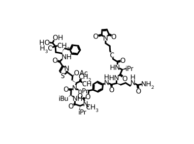 C=C(C)[C@@H](C[C@@H](OC(C)=O)c1nc(C(=O)N[C@@H](Cc2ccccc2)CC(C)(C)C(O)O)cs1)N(CCC)C(=O)[C@@H](NC(=O)[C@@H](C(C)C)N(C)C(=O)OCc1ccc(NC(=O)[C@H](CCCNC(N)=O)NC(=O)[C@@H](NC(=O)CCCCCN2C(=O)C=CC2=O)C(C)C)cc1)[C@@H](C)CC